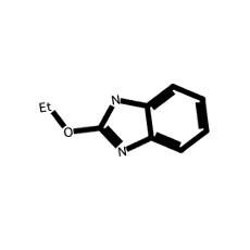 CCOC1=Nc2ccccc2[N]1